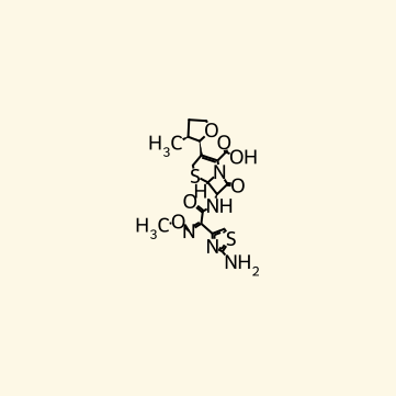 CO/N=C(\C(=O)N[C@@H]1C(=O)N2C(C(=O)O)=C([C@@H]3OCC[C@@H]3C)CS[C@H]12)c1csc(N)n1